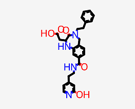 O=C(O)CC1Nc2cc(C(=O)NCCc3ccnc(O)c3)ccc2CN(CCc2ccccc2)C1=O